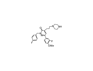 COc1ccc(-c2cc(CCCN3CCNCC3)c(=O)n(Cc3ccc(F)cc3)n2)cc1F